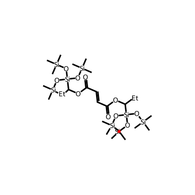 CCC(OC(=O)/C=C/C(=O)OC(CC)[Si](O[Si](C)(C)C)(O[Si](C)(C)C)O[Si](C)(C)C)[Si](O[Si](C)(C)C)(O[Si](C)(C)C)O[Si](C)(C)C